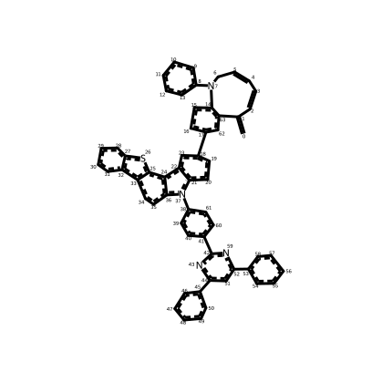 C=C1/C=C\C=C/CN(c2ccccc2)c2ccc(-c3ccc4c(c3)c3c5sc6ccccc6c5ccc3n4-c3ccc(-c4nc(-c5ccccc5)cc(-c5ccccc5)n4)cc3)cc21